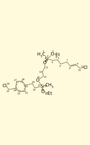 CCO[Si](C)(CCCCC=CCCl)OCCCO[Si](C)(CCc1ccc(CCl)cc1)OCC